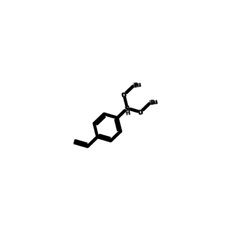 C=Cc1ccc([SiH](OC(C)CC)OC(C)CC)cc1